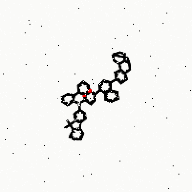 CC1(C)c2ccccc2-c2ccc(N(c3ccc(-c4ccc(-c5ccc6c(c5)C5CC7CCC5C(C6)C7)c5ccccc45)cc3)c3ccccc3-c3ccccc3)cc21